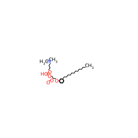 CCCCCCCCCCCCCc1cccc(OCC(COP(O)OCCCCN(C)C)OC=O)c1